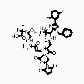 CC(C)(C)[C@@H](NCC[C@H](N)C(=O)N(CCN1C(=O)C=CC1=O)[C@@H](CCC(N)=O)C(=O)O)c1nc(-c2cc(F)ccc2F)cn1Cc1ccccc1.O=C(O)C(F)(F)F.OCCO